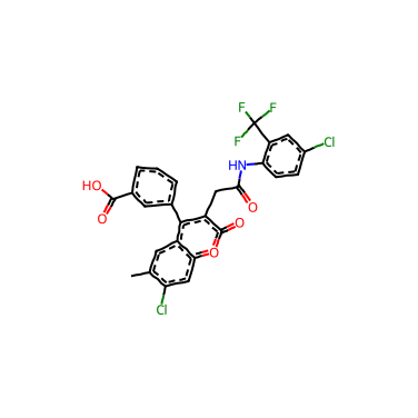 Cc1cc2c(-c3cccc(C(=O)O)c3)c(CC(=O)Nc3ccc(Cl)cc3C(F)(F)F)c(=O)oc2cc1Cl